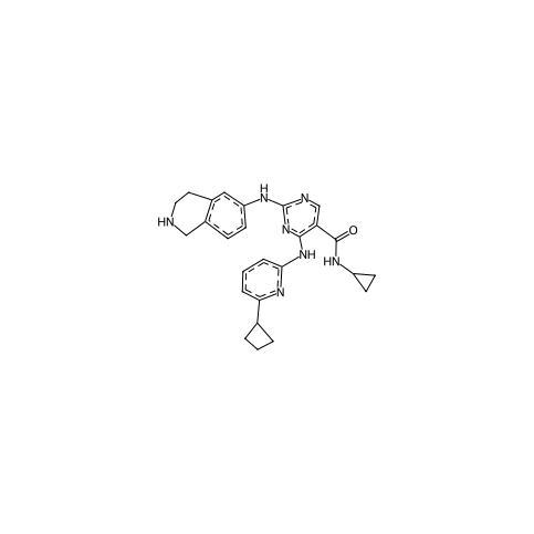 O=C(NC1CC1)c1cnc(Nc2ccc3c(c2)CCNC3)nc1Nc1cccc(C2CCC2)n1